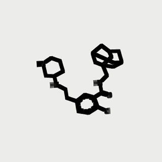 O=C(NCC12CC3CC(CC(C3)C1)C2)c1cc(CCNC2CCCNC2)ccc1Cl